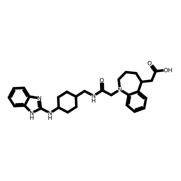 O=C(O)CC1CCCN(CC(=O)NCC2CCC(Nc3nc4ccccc4[nH]3)CC2)c2ccccc21